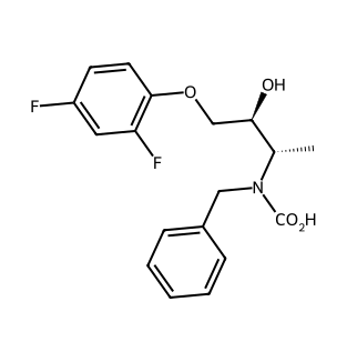 C[C@@H]([C@H](O)COc1ccc(F)cc1F)N(Cc1ccccc1)C(=O)O